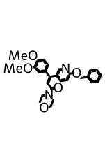 COc1ccc(C(=CC(=O)N2CCOCC2)c2ccc(OCc3ccccc3)nc2)cc1OC